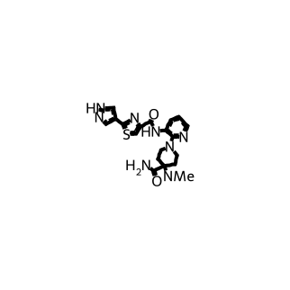 CNC1(C(N)=O)CCN(c2ncccc2NC(=O)c2csc(-c3cn[nH]c3)n2)CC1